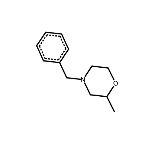 CC1CN(Cc2ccccc2)CCO1